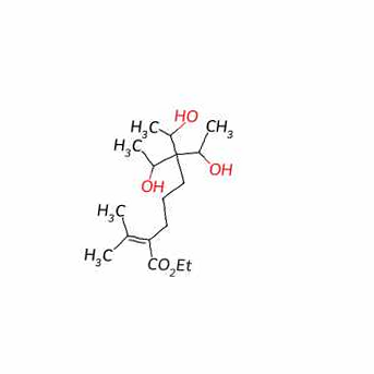 CCOC(=O)C(CCCC(C(C)O)(C(C)O)C(C)O)=C(C)C